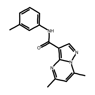 Cc1cccc(NC(=O)c2cnn3c(C)cc(C)nc23)c1